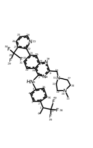 CC(c1ccc(Nc2nc(CN3CCN(C)CC3)nc3cc(-c4ncccc4C(F)(F)F)ccc23)cc1)C(F)(F)F